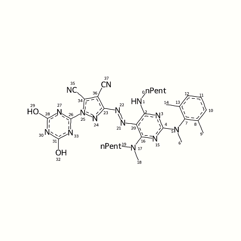 CCCCCNc1nc(N(C)c2c(C)cccc2C)nc(N(C)CCCCC)c1N=Nc1nn(-c2nc(O)nc(O)n2)c(C#N)c1C#N